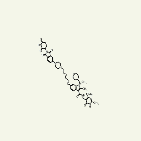 COc1cc(C)[nH]c(=O)c1CNC(=O)c1c(C)n([C@@H](C)C2CCOCC2)c2cc(OCCOCCN3CCN(c4ccc5c(c4)C(=O)N(C4CCC(=O)NC4=O)C5=O)CC3)ccc12